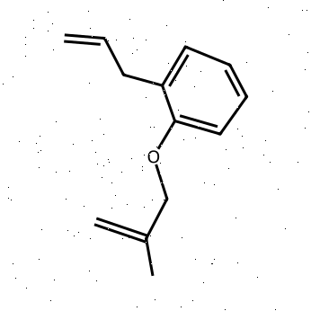 C=CCc1ccccc1OCC(=C)C